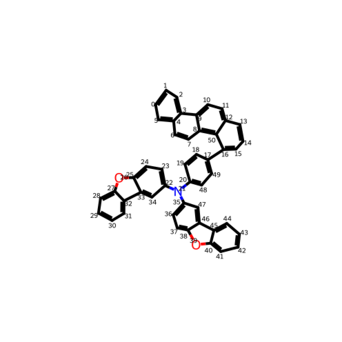 c1ccc2c(c1)ccc1c2ccc2cccc(-c3ccc(N(c4ccc5oc6ccccc6c5c4)c4ccc5oc6ccccc6c5c4)cc3)c21